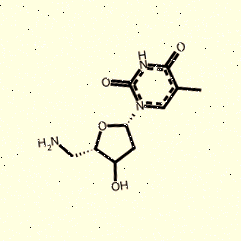 Cc1cn([C@@H]2CC(O)[C@H](CN)O2)c(=O)[nH]c1=O